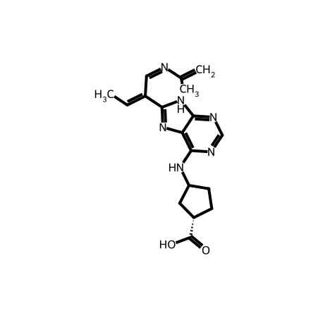 C=C(C)/N=C\C(=C/C)c1nc2c(NC3CC[C@H](C(=O)O)C3)ncnc2[nH]1